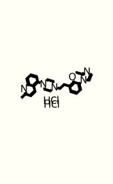 Cc1ccc2c(N3CCN(CCc4cccc5c4OCc4nccn4-5)CC3)cccc2n1.Cl.Cl